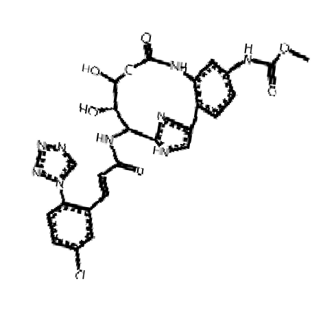 COC(=O)Nc1ccc2c(c1)NC(=O)CC(O)[C@H](O)C(NC(=O)/C=C/c1cc(Cl)ccc1-n1cnnn1)c1nc-2c[nH]1